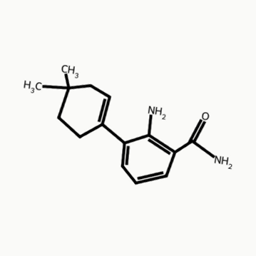 CC1(C)CC=C(c2cccc(C(N)=O)c2N)CC1